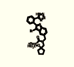 CCCCCC(=O)N(Cc1ccc2sc(-c3ccccc3-c3nnn[nH]3)c(Br)c2c1)CC1(OC(=O)O)CCCC1